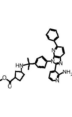 COC(=O)C1CCC(NC(C)(C)c2ccc(-n3c(-c4cccnc4N)nc4ccc(-c5ccccc5)nc43)cc2)C1